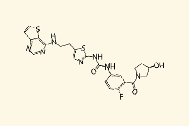 O=C(Nc1ccc(F)c(C(=O)N2CC[C@@H](O)C2)c1)Nc1ncc(CCNc2ncnc3ccsc23)s1